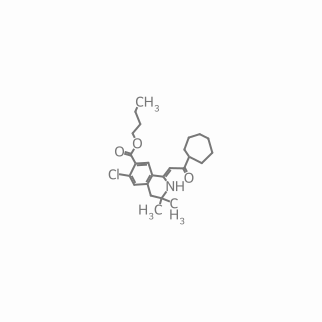 CCCCOC(=O)c1cc2c(cc1Cl)CC(C)(C)NC2=CC(=O)C1CCCCCC1